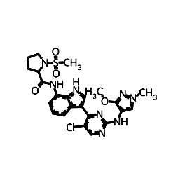 COc1nn(C)cc1Nc1ncc(Cl)c(-c2c[nH]c3c(NC(=O)C4CCCN4S(C)(=O)=O)cccc23)n1